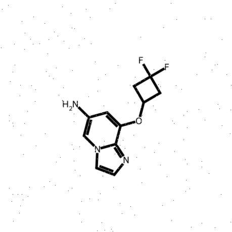 Nc1cc(OC2CC(F)(F)C2)c2nccn2c1